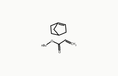 C1=C2CCC(C1)C2.C=CC(=O)OCCCC